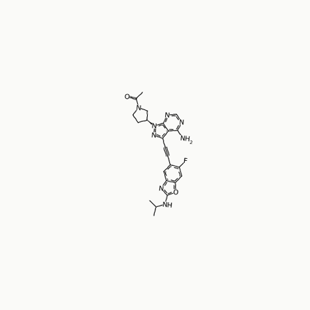 CC(=O)N1CC[C@H](n2nc(C#Cc3cc4nc(NC(C)C)oc4cc3F)c3c(N)ncnc32)C1